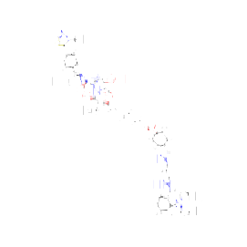 Cc1ncsc1-c1ccc([C@H](C)NC(=O)C2CC(O)CN2C(=O)C(C(=O)CCCCCCCOc2ccc(CNCCCNCc3ccccc3N(C)C)cc2)C(C)(C)C)cc1